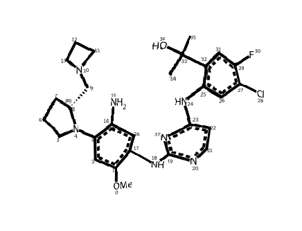 COc1cc(N2CCC[C@@H]2CN2CCC2)c(N)cc1Nc1nccc(Nc2cc(Cl)c(F)cc2C(C)(C)O)n1